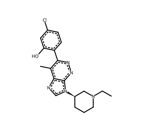 CCN1CCC[C@@H](n2cnc3c(C)c(-c4ccc(Cl)cc4O)nnc32)C1